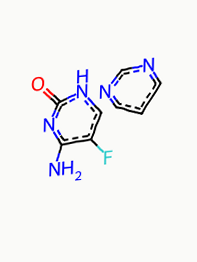 Nc1nc(=O)[nH]cc1F.c1cncnc1